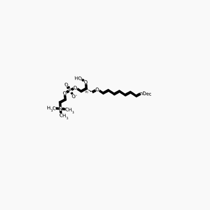 CCCCCCCCCCCCCCCCCOC[C@H](COP(=O)([O-])OCC[N+](C)(C)C)OO